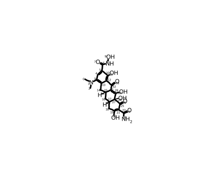 CN(C)c1cc(C(=O)NO)c(O)c2c1C[C@H]1C[C@H]3CC(O)=C(C(N)=O)C(=O)[C@@]3(O)C(O)=C1C2=O